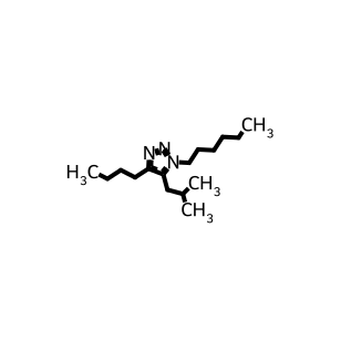 CCCCCCn1nnc(CCCC)c1CC(C)C